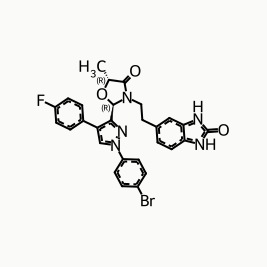 C[C@H]1O[C@H](c2nn(-c3ccc(Br)cc3)cc2-c2ccc(F)cc2)N(CCc2ccc3[nH]c(=O)[nH]c3c2)C1=O